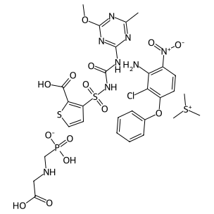 COc1nc(C)nc(NC(=O)NS(=O)(=O)c2ccsc2C(=O)O)n1.C[S+](C)C.Nc1c([N+](=O)[O-])ccc(Oc2ccccc2)c1Cl.O=C(O)CNCP(=O)([O-])O